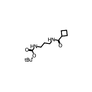 CC(C)(C)OC(=O)NCCCNC(=O)C1CCC1